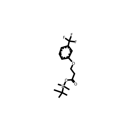 CC(C)(C)[Si](C)(C)OC(=O)CCOc1cccc(C(F)(F)F)c1